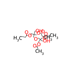 CCCC(=O)OCC(CO)(COCC(CO)(COC(=O)CC)COC(=O)CC)COC(=O)CC